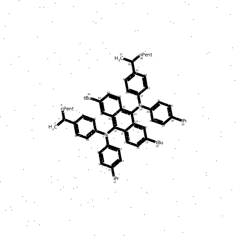 CCCCCC(C)c1ccc(N(c2ccc(C(C)C)cc2)c2c3ccc(C(C)(C)C)cc3c(N(c3ccc(C(C)C)cc3)c3ccc(C(C)CCCCC)cc3)c3ccc(C(C)(C)C)cc23)cc1